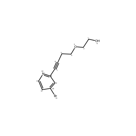 OCCOCCC#Cc1cc(Br)ccn1